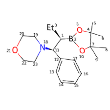 CC[C@@H](B1OC(C)(C)C(C)(C)O1)[C@@H](c1ccccc1)N1CCOCC1